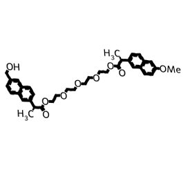 COc1ccc2cc([C@H](C)C(=O)OCCOCCOCCOCCOC(=O)[C@@H](C)c3ccc4cc(CO)ccc4c3)ccc2c1